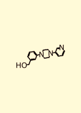 OCc1cccc(N2CCN(c3cccnc3)CC2)c1